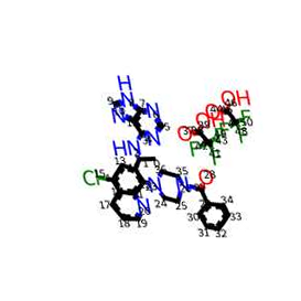 CC(Nc1ncnc2[nH]cnc12)c1cc(Cl)c2cccnc2c1N1CCN(C(=O)c2ccccc2)CC1.O=C(O)C(F)(F)F.O=C(O)C(F)(F)F